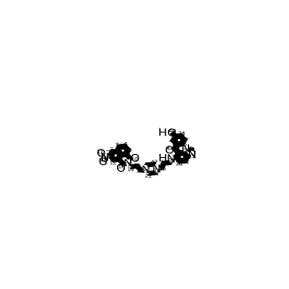 O=C1c2cccc3cc([N+](=O)[O-])cc(c23)C(=O)N1CCCN1CCN(CCCNc2ccc3ncn4c5ccc(O)cc5c(=O)c2c34)CC1